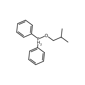 C[C](C)CO[PH2](c1ccccc1)c1ccccc1